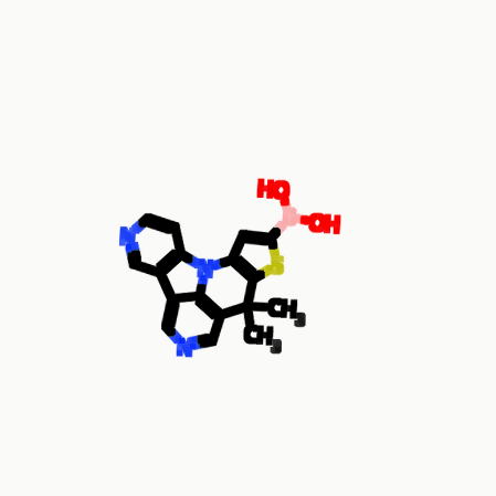 CC1(C)c2sc(B(O)O)cc2-n2c3ccncc3c3cncc1c32